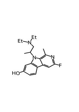 CCN(CC)CC(C)n1c2cc(O)ccc2c2cc(F)nc(C)c21